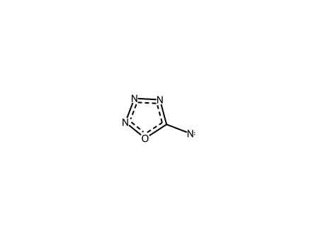 [N]c1nnno1